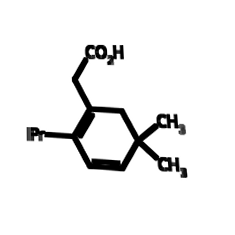 CC(C)C1=C(CC(=O)O)CC(C)(C)C=C1